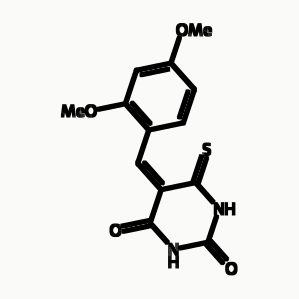 COc1ccc(/C=C2/C(=O)NC(=O)NC2=S)c(OC)c1